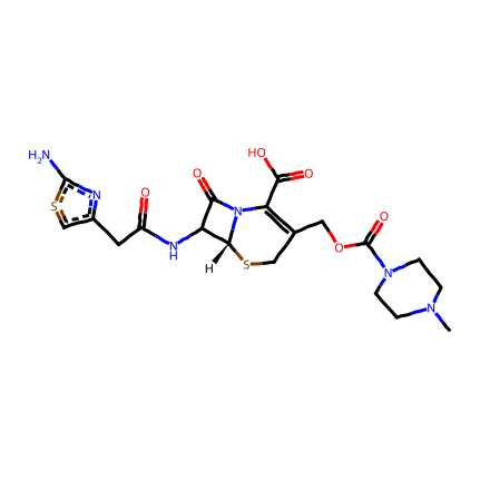 CN1CCN(C(=O)OCC2=C(C(=O)O)N3C(=O)C(NC(=O)Cc4csc(N)n4)[C@H]3SC2)CC1